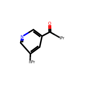 CCCc1cncc(C(=O)C(C)C)c1